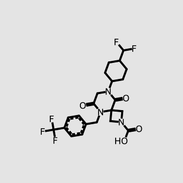 O=C(O)N1CC2(C1)C(=O)N(C1CCC(C(F)F)CC1)CC(=O)N2Cc1ccc(C(F)(F)F)cc1